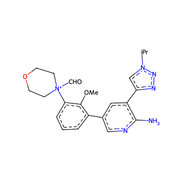 COc1c(-c2cnc(N)c(-c3cn(C(C)C)nn3)c2)cccc1[N+]1(C=O)CCOCC1